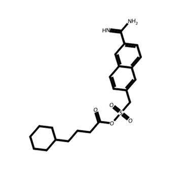 N=C(N)c1ccc2cc(CS(=O)(=O)OC(=O)CCCC3CCCCC3)ccc2c1